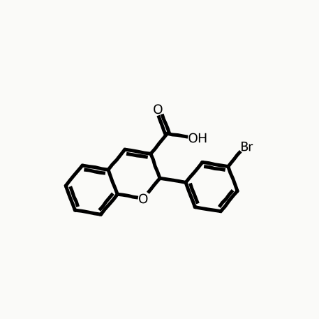 O=C(O)C1=Cc2ccccc2OC1c1cccc(Br)c1